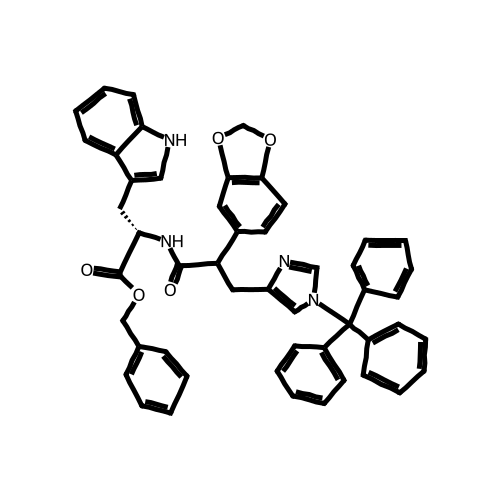 O=C(N[C@@H](Cc1c[nH]c2ccccc12)C(=O)OCc1ccccc1)C(Cc1cn(C(c2ccccc2)(c2ccccc2)c2ccccc2)cn1)c1ccc2c(c1)OCO2